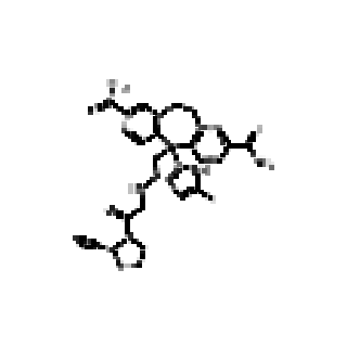 Cc1nnc(C2(CCNCC(=O)N3CCCC3C#N)c3ccc(C(N)=O)cc3CCc3cc(C(N)=O)ccc32)[nH]1